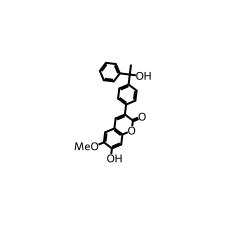 COc1cc2cc(-c3ccc(C(C)(O)c4ccccc4)cc3)c(=O)oc2cc1O